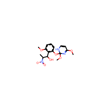 COC1=NC(OC)(Oc2cccc(OC)c2C(O)C(C)[N+](=O)[O-])NC=C1